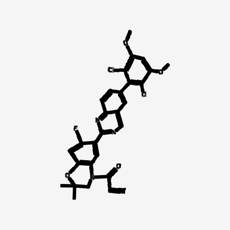 C=CC(=O)N1CC(C)(C)Oc2cc(F)c(-c3ncc4cc(-c5c(Cl)c(OC)cc(OC)c5Cl)ccc4n3)cc21